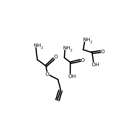 C#CCOC(=O)CN.NCC(=O)O.NCC(=O)O